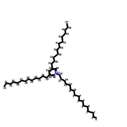 CCCCCCCCCCCCCCCCC[n+]1cc(CCCCCCCCCCCCC)cc(CCCCCCCCCCCCC)c1